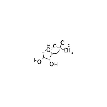 CC(C)(C)CC1OCC(OI)C1O